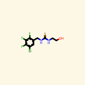 OCCNC(=S)NCc1cc(Br)c(F)c(F)c1F